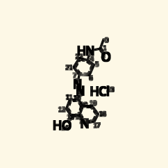 CC(=O)Nc1ccc(N=Nc2ccc(O)c3ncccc23)cc1.Cl